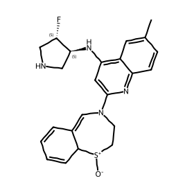 Cc1ccc2nc(N3C=C4C=CC=CC4[S+]([O-])CC3)cc(N[C@H]3CNC[C@@H]3F)c2c1